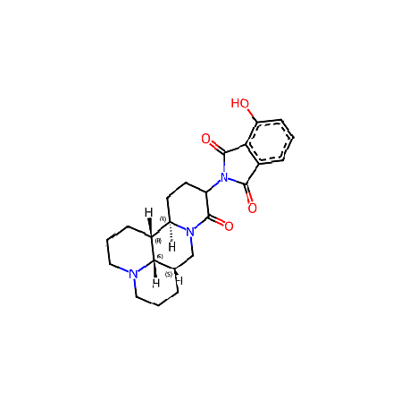 O=C1c2cccc(O)c2C(=O)N1C1CC[C@@H]2[C@H]3CCCN4CCC[C@@H](CN2C1=O)[C@@H]34